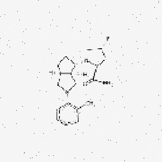 Cc1ccccc1N1C[C@H]2CC[C@H](N3C[C@H](F)C[C@H]3C(N)=O)[C@H]2C1